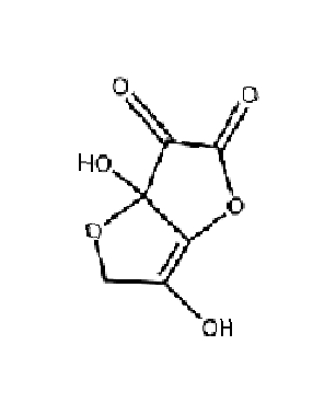 O=C1OC2=C(O)COC2(O)C1=O